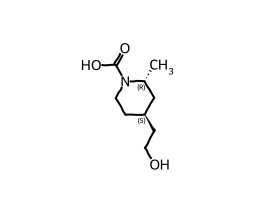 C[C@@H]1C[C@@H](CCO)CCN1C(=O)O